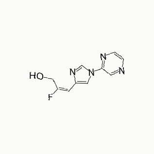 OC/C(F)=C\c1cn(-c2cnccn2)cn1